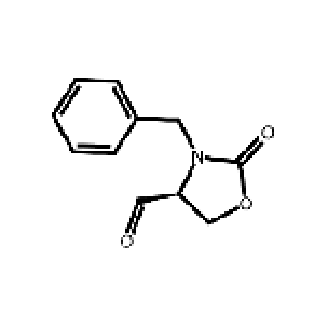 O=C[C@@H]1COC(=O)N1Cc1ccccc1